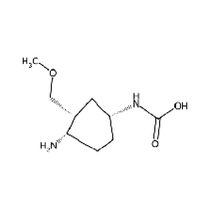 COC[C@@H]1C[C@H](NC(=O)O)CC[C@@H]1N